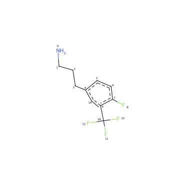 NCCCc1ccc(F)c(C(F)(F)F)c1